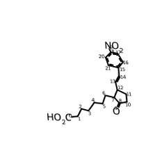 O=C(O)CCCCCCC1C(=O)CCC1/C=C/c1ccc([N+](=O)[O-])cc1